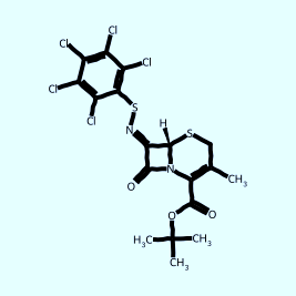 CC1=C(C(=O)OC(C)(C)C)N2C(=O)C(=NSc3c(Cl)c(Cl)c(Cl)c(Cl)c3Cl)[C@@H]2SC1